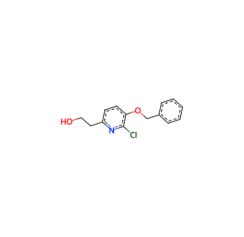 OCCc1ccc(OCc2ccccc2)c(Cl)n1